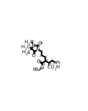 CC(C)C[C@@H](C(=O)O)C(CCCN1C(=O)N(C)C(C)(C)C1=O)C(=O)OC(C)(C)C